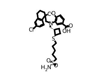 NS(=O)(=O)CCCCCS[C@@H]1CC[C@H]1CN1CC2(CCCc3cc(Cl)ccc32)COc2ccc(C(=O)O)cc21